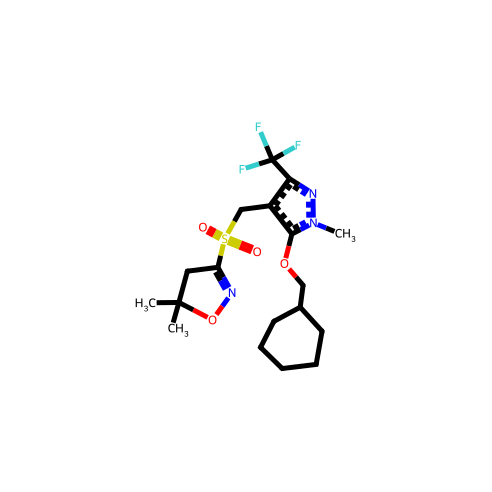 Cn1nc(C(F)(F)F)c(CS(=O)(=O)C2=NOC(C)(C)C2)c1OCC1CCCCC1